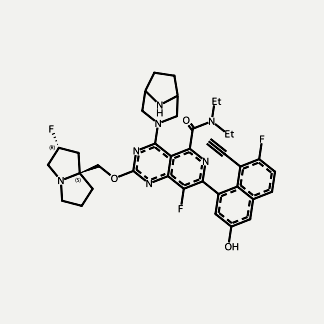 C#Cc1c(F)ccc2cc(O)cc(-c3nc(C(=O)N(CC)CC)c4c(N5CC6CCC(C5)N6)nc(OC[C@@]56CCCN5C[C@H](F)C6)nc4c3F)c12